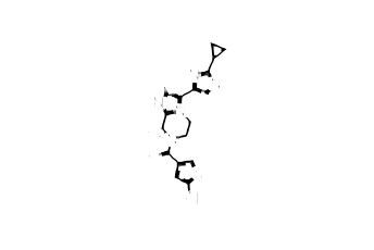 C[C@@H]1c2nnc(-c3nc(C4CC4)ns3)n2CCN1C(=O)c1csc(Cl)c1